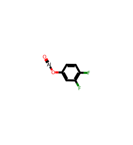 [O]=[Al][O]c1ccc(F)c(F)c1